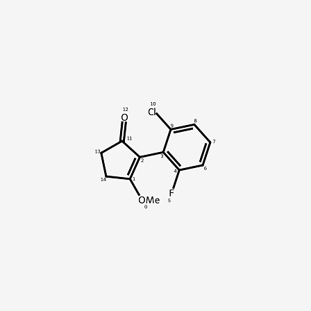 COC1=C(c2c(F)cccc2Cl)C(=O)CC1